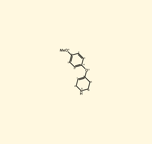 COc1ccc(OC2=CCNCC2)cc1